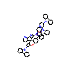 c1cnc2c(c1)C1(c3ccc(-n4c5ccccc5c5ccccc54)cc3Oc3ccc(-c4ccc5c(c4)c4ccccc4n5-c4cc(-n5c6ccccc6c6ccccc65)ccn4)cc31)c1cc(-n3c4ccccc4c4ccccc43)cnc1-2